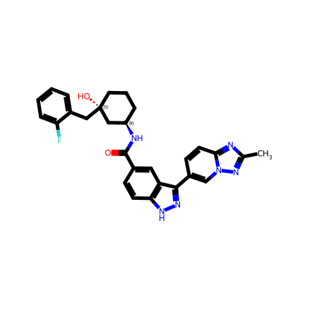 Cc1nc2ccc(-c3n[nH]c4ccc(C(=O)N[C@@H]5CCC[C@](O)(Cc6ccccc6F)C5)cc34)cn2n1